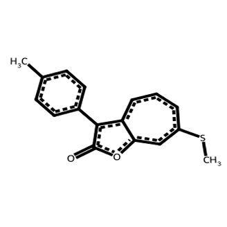 CSc1cccc2c(-c3ccc(C)cc3)c(=O)oc-2c1